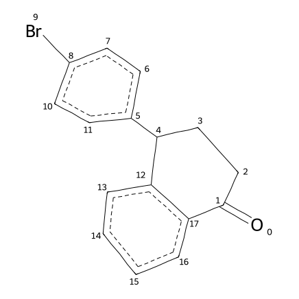 O=C1CCC(c2ccc(Br)cc2)c2ccccc21